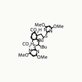 COc1cc(OC)nc(SC(Cc2c(C(=O)O)ccc(C(=O)O)c2CC(Sc2nc(OC)cc(OC)n2)C(C)(C)C)C(C)(C)C)n1